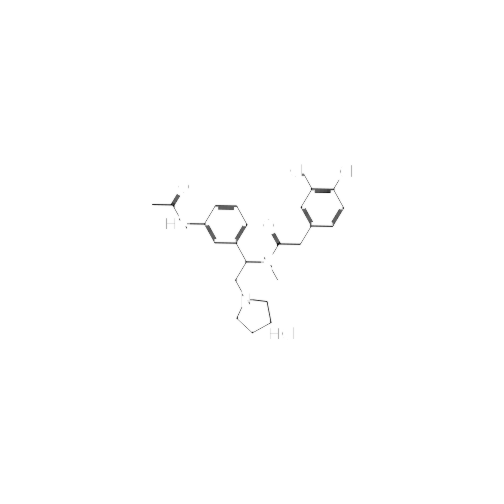 CC(=O)Nc1cccc(C(CN2CCCC2)N(C)C(=O)Cc2ccc(Cl)c(Cl)c2)c1.Cl